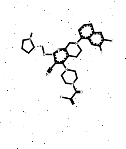 C=C(F)C(=O)N1CCN(c2c(C#N)c(OC[C@@H]3CCCN3C)nc3c2CCN(c2cccc4cc(F)c(F)cc24)C3)CC1